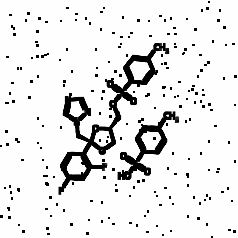 Cc1ccc(S(=O)(=O)O)cc1.Cc1ccc(S(=O)(=O)OC[C@H]2CO[C@](Cn3cncn3)(c3ccc(F)cc3F)O2)cc1